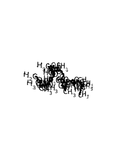 C=CCCC(=O)NC(C(=O)N[C@@H](C)C(=O)Nc1ccc(COC(=O)N2c3cc(OCCCCCOc4cc5c(cc4OC)C(=O)N4C=C(C)C[C@H]4[C@H](O)N5C(=O)OCc4ccc(NC(=O)[C@H](C)NC(=O)[C@@H](NC(=O)OCC=C)C(C)C)cc4)c(OC)cc3C(=O)N3C=C(C)C[C@H]3[C@@H]2O)cc1)C(C)C